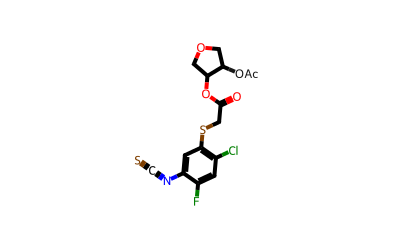 CC(=O)OC1COCC1OC(=O)CSc1cc(N=C=S)c(F)cc1Cl